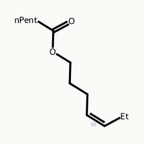 CC/C=C\CCCOC(=O)CCCCC